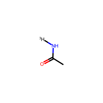 [3H]NC(C)=O